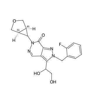 O=c1c2nn(Cc3ccccc3F)c(C(O)CO)c2cnn1C1[C@H]2COC[C@@H]12